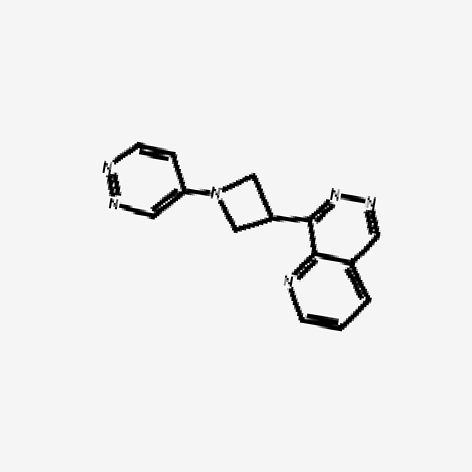 c1cnc2c(C3CN(c4ccnnc4)C3)nncc2c1